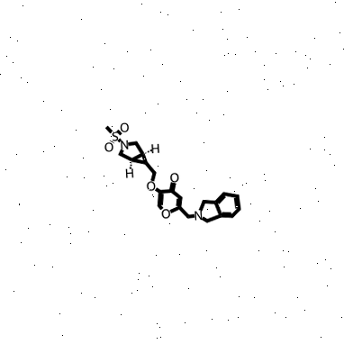 CS(=O)(=O)N1C[C@@H]2C(COc3coc(CN4Cc5ccccc5C4)cc3=O)[C@@H]2C1